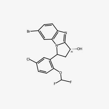 O[C@@H]1CC(c2cc(Cl)ccc2OC(F)F)n2c1nc1ccc(Br)cc12